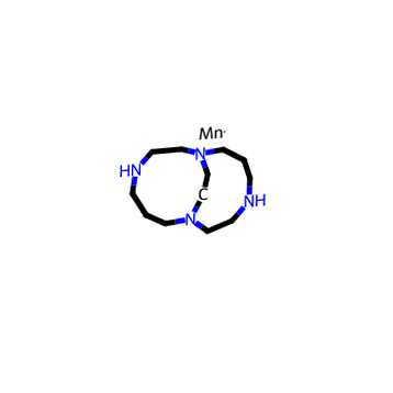 C1CNCCN2CCCNCCN(C1)CC2.[Mn]